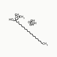 CCCCCCCCCCCCCCCCCCSCC(CO)(COC)COC.O=P(O)(O)O